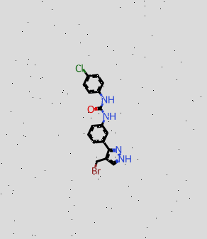 O=C(Nc1ccc(Cl)cc1)Nc1cccc(-c2n[nH]cc2CBr)c1